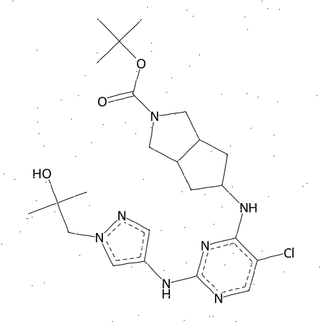 CC(C)(O)Cn1cc(Nc2ncc(Cl)c(NC3CC4CN(C(=O)OC(C)(C)C)CC4C3)n2)cn1